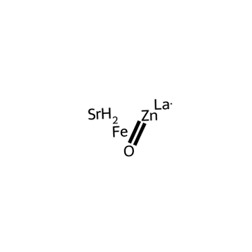 [Fe].[La].[O]=[Zn].[SrH2]